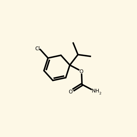 CC(C)C1(OC(N)=O)C=CC=C(Cl)C1